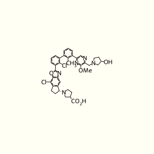 COc1nc(-c2cccc(-c3cccc(-c4nc5cc6c(c(Cl)c5o4)CC[C@H]6N4CC[C@@H](C(=O)O)C4)c3Cl)c2C)cnc1CN1CC[C@@H](O)C1